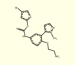 Cn1nccc1-c1cc(NC(=O)Oc2cc(Br)cs2)ccc1OCCN